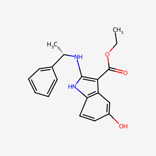 CCOC(=O)c1c(N[C@@H](C)c2ccccc2)[nH]c2ccc(O)cc12